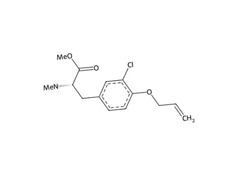 C=CCOc1ccc(C[C@H](NC)C(=O)OC)cc1Cl